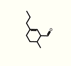 CCCC1=CC(C=O)C(C)CC1